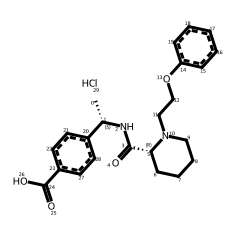 C[C@H](NC(=O)[C@H]1CCCCN1CCOc1ccccc1)c1ccc(C(=O)O)cc1.Cl